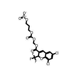 O=C(OCCCO[N+](=O)[O-])OCOC(=O)C1=Cc2cc(Cl)cc(Cl)c2OC1C(F)(F)F